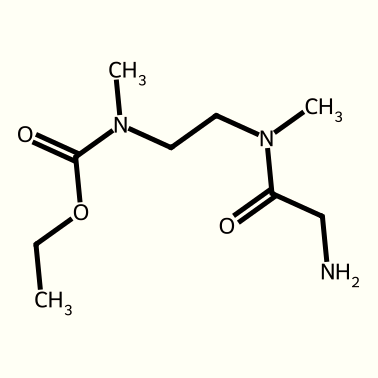 CCOC(=O)N(C)CCN(C)C(=O)CN